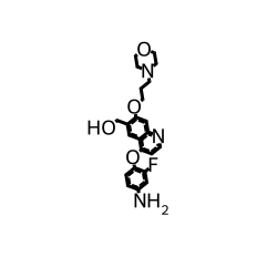 Nc1ccc(Oc2ccnc3cc(OCCCN4CCOCC4)c(CO)cc23)c(F)c1